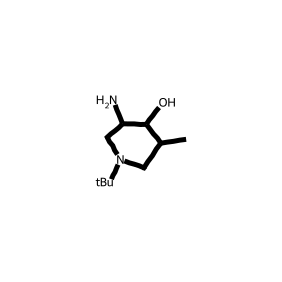 CC1CN(C(C)(C)C)CC(N)C1O